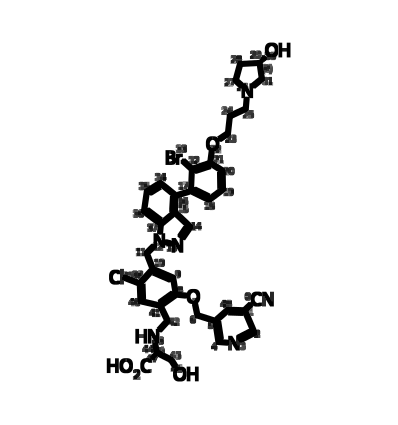 N#Cc1cncc(COc2cc(Cn3ncc4c(-c5cccc(OCCCN6CC[C@@H](O)C6)c5Br)cccc43)c(Cl)cc2CN[C@@H](CO)C(=O)O)c1